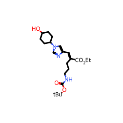 CCOC(=O)/C(=C/c1cn(C2CCC(O)CC2)cn1)CCCNC(=O)OC(C)(C)C